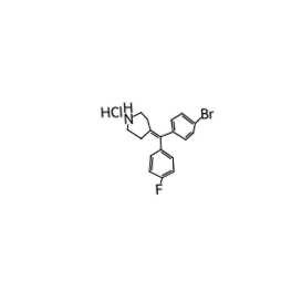 Cl.Fc1ccc(C(=C2CCNCC2)c2ccc(Br)cc2)cc1